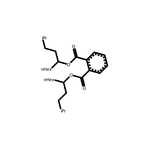 CCCCCCC(CCC(C)C)OC(=O)c1ccccc1C(=O)OC(CCCCCC)CCC(C)C